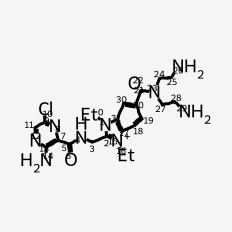 CCn1c(CNC(=O)c2nc(Cl)cnc2N)[n+](CC)c2ccc(C(=O)N(CCN)CCN)cc21